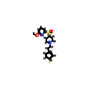 COc1cccc([S+]([O-])C2CCN(CCc3ccc(F)cc3)CC2)n1